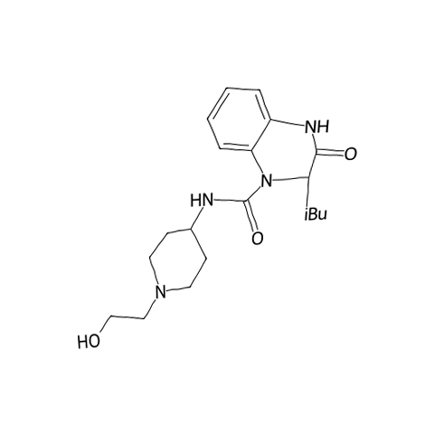 CCC(C)C1C(=O)Nc2ccccc2N1C(=O)NC1CCN(CCO)CC1